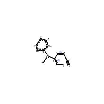 C#C/C=C\C(=C/C)N(C)c1ccccc1